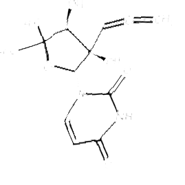 C=C=C[C@@]1(O)[C@H](O)C(C)(C)O[C@H]1n1ccc(=O)[nH]c1=O